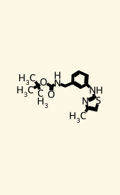 Cc1csc(Nc2cccc(CNC(=O)OC(C)(C)C)c2)n1